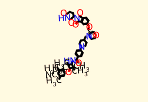 Cc1cc(OC2C(C)(C)C(NC(=O)c3ccc(N4CCC(CN5CCOC[C@@H]5COc5ccc6c(c5)C(=O)N(C5CCC(=O)NC5=O)C6=O)CC4)cc3)C2(C)C)cc(C)c1C#N